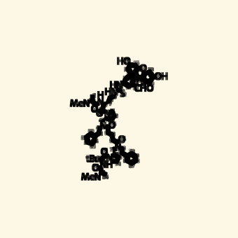 CN[C@@H](C)C(=O)N[C@@H](CCCNC(=S)Nc1ccc(C2(O)c3ccc(O)cc3Oc3cc(O)ccc32)c(C=O)c1)C(=O)N1CCC[C@H]1CN(CCc1ccccc1)C(=O)CCCC(=O)N(CCc1ccccc1)C[C@@H]1CCCN1C(=O)[C@@H](NC(=O)[C@H](C)NC)C(C)(C)C